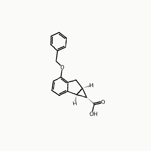 O=C(O)[C@H]1[C@@H]2Cc3c(OCc4ccccc4)cccc3[C@@H]21